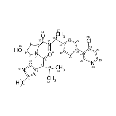 Cc1cc([C@H](C(=O)N2C[C@H](O)C[C@H]2C(=O)N[C@@H](C)c2ccc(-c3cnccc3Cl)cc2)C(C)C)on1